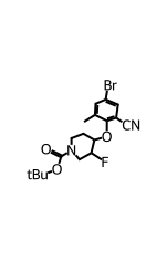 Cc1cc(Br)cc(C#N)c1OC1CCN(C(=O)OC(C)(C)C)CC1F